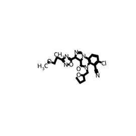 COCC(C)c1noc(C2N=CN3c4ccc(Cl)c(C#N)c4N(CC4CCCO4)C(=O)C23)n1